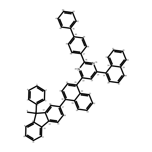 CC1(c2ccccc2)c2ccccc2-c2ccc(-c3ccc(-c4cc(-c5cccc6ccccc56)nc(-c5ccc(-c6ccccc6)cc5)n4)c4ccccc34)cc21